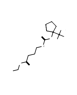 CCOC(=O)CCCNC(=O)OC1(C(C)(C)C)CCCC1